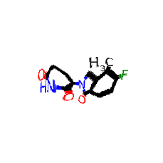 CC1=C(F)C=CC2C(=O)N(C3CCC(=O)NC3=O)CC12